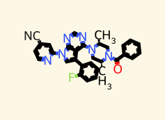 C[C@@H]1CN(c2ncnc3c2c(-c2ccccc2F)cn3-c2cc(C#N)ccn2)[C@@H](C)CN1C(=O)c1ccccc1